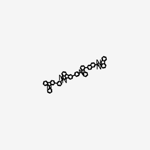 c1ccc(-n2c3ccccc3c3ccc(-c4cccc(-c5nc6c7c(cccc7n5)-c5cc(-c7ccc(-n8c9ccccc9c9c(-c%10ccc%11cc(-c%12nc%13c%14c(cccc%14n%12)-c%12ccccc%12-%13)ccc%11c%10)cccc98)cc7)ccc5-6)c4)cc32)cc1